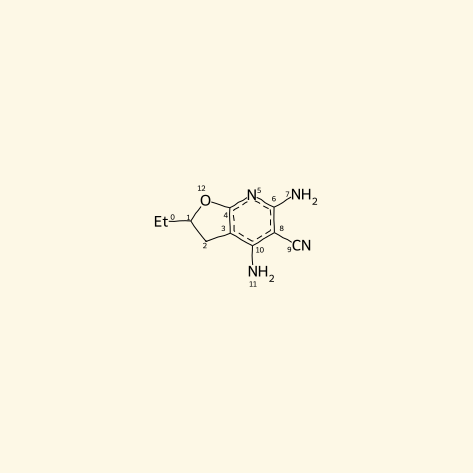 CCC1Cc2c(nc(N)c(C#N)c2N)O1